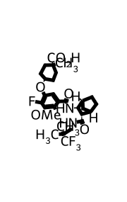 COc1cc(F)c(O[C@H]2CC[C@@](C)(C(=O)O)CC2)cc1C(=O)N[C@@H]1[C@H]2CC[C@H](C2)[C@@H]1C(=O)NCC(C)(C)C(F)(F)F